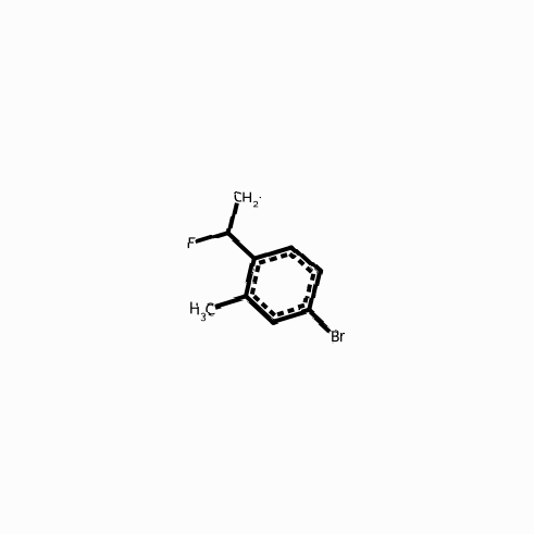 [CH2]C(F)c1ccc(Br)cc1C